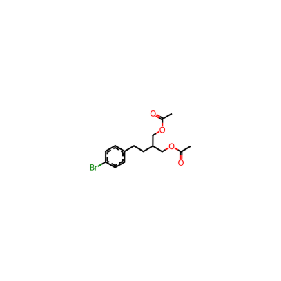 CC(=O)OCC(CCc1ccc(Br)cc1)COC(C)=O